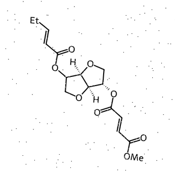 CC/C=C/C(=O)OC1CO[C@@H]2[C@@H](OC(=O)/C=C/C(=O)OC)CO[C@H]12